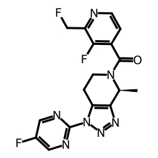 C[C@H]1c2nnn(-c3ncc(F)cn3)c2CCN1C(=O)c1ccnc(CF)c1F